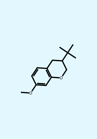 COc1ccc2c(c1)OCC(C(C)(C)C)C2